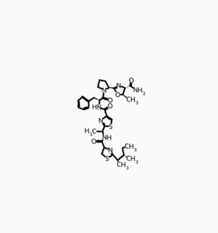 CC[C@H](C)C(C)C1=NC(C(=O)NC(C)c2nc(C(=O)N[C@@H](Cc3ccccc3)C(=O)N3CCC[C@H]3C3=N[C@H](C(N)=O)[C@@H](C)O3)cs2)CS1